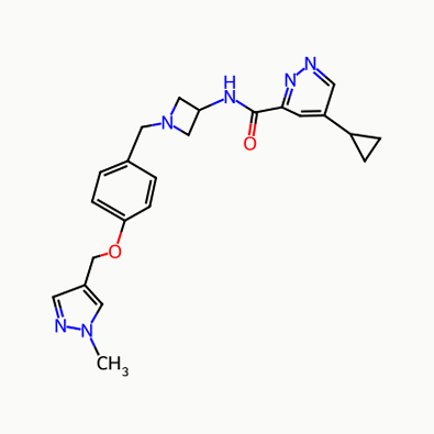 Cn1cc(COc2ccc(CN3CC(NC(=O)c4cc(C5CC5)cnn4)C3)cc2)cn1